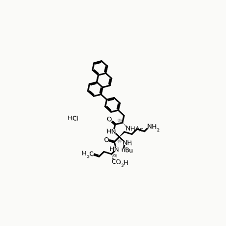 C=CC[C@H](NC(=O)[C@@](CCCCN)(NCCCC)NC(=O)[C@H](Cc1ccc(-c2cccc3c2ccc2ccccc23)cc1)NC(C)=O)C(=O)O.Cl